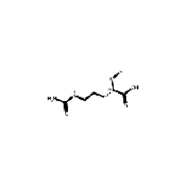 NC(=O)NCCC[C@H](NF)C(=O)O